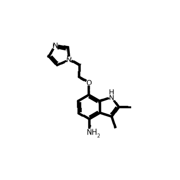 Cc1[nH]c2c(OCCn3ccnc3)ccc(N)c2c1C